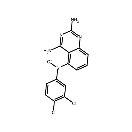 Nc1nc(N)c2c([S+]([O-])c3ccc(Cl)c(Cl)c3)cccc2n1